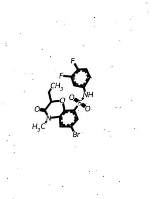 CCC1Oc2c(cc(Br)cc2S(=O)(=O)Nc2ccc(F)c(F)c2)N(C)C1=O